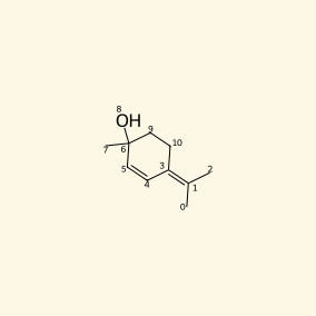 CC(C)=C1C=CC(C)(O)CC1